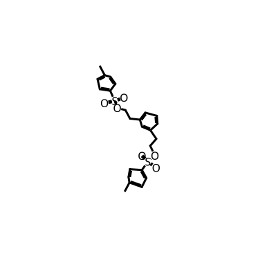 Cc1ccc(S(=O)(=O)OCCc2cccc(CCOS(=O)(=O)c3ccc(C)cc3)c2)cc1